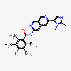 Bc1c(B)c(C(=O)Nc2cc3cc(-c4cnc(C)n4C)ncc3cn2)c(B)c(B)c1F